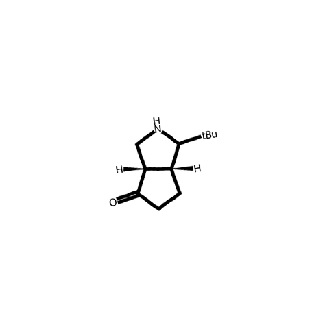 CC(C)(C)C1NC[C@H]2C(=O)CC[C@@H]12